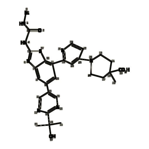 CCNC(=O)Nc1nc2cc(-c3cnc(C(C)(C)O)nc3)cc(-c3cc(N4CCC(C)(C(=O)O)CC4)ccn3)c2s1